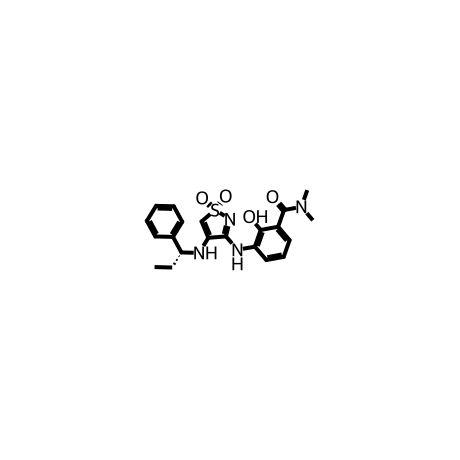 CC[C@@H](NC1=CS(=O)(=O)N=C1Nc1cccc(C(=O)N(C)C)c1O)c1ccccc1